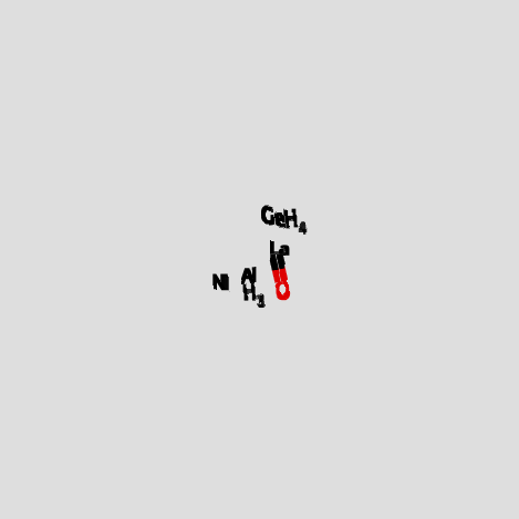 [AlH3].[GeH4].[Ni].[O]=[La]